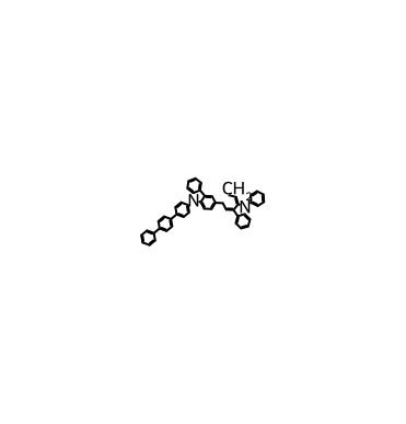 C=C/C=c1\c(=C/Cc2ccc3c(c2)c2ccccc2n3-c2ccc(-c3ccc(-c4ccccc4)cc3)cc2)c2ccccc2n1-c1ccccc1